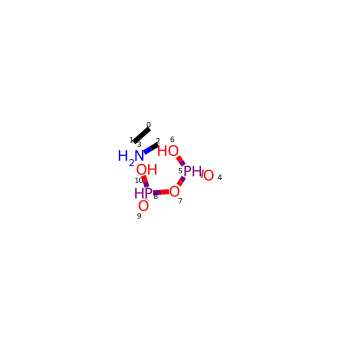 CC.CN.O=[PH](O)O[PH](=O)O